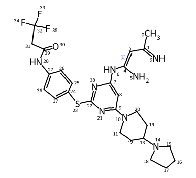 CC(=N)/C=C(\N)Nc1cc(N2CCC(N3CCCC3)CC2)nc(Sc2ccc(NC(=O)CC(F)(F)F)cc2)n1